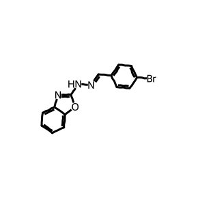 Brc1ccc(/C=N/Nc2nc3ccccc3o2)cc1